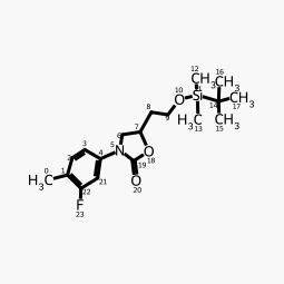 Cc1ccc(N2CC(CCO[Si](C)(C)C(C)(C)C)OC2=O)cc1F